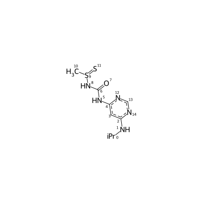 CC(C)Nc1cc(NC(=O)NS(C)=S)ncn1